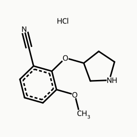 COc1cccc(C#N)c1OC1CCNC1.Cl